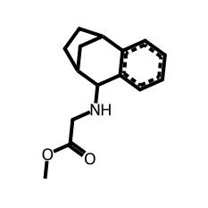 COC(=O)CNC1c2ccccc2C2CCC1C2